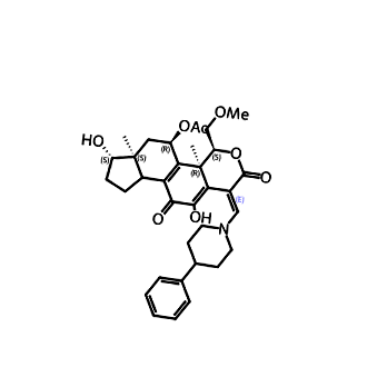 COC[C@H]1OC(=O)/C(=C/N2CCC(c3ccccc3)CC2)C2=C(O)C(=O)C3=C([C@H](OC(C)=O)C[C@@]4(C)C3CC[C@@H]4O)[C@]21C